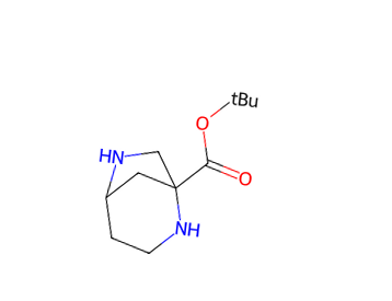 CC(C)(C)OC(=O)C12CNC(CCN1)C2